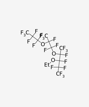 CCOC(F)(C(F)(F)C(F)(F)F)C(F)(OC(F)(F)C(F)(OC(F)(F)C(F)(F)C(F)(F)F)C(F)(F)F)C(F)(F)F